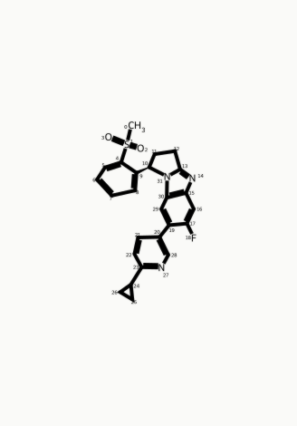 CS(=O)(=O)c1ccccc1[C@H]1CCc2nc3cc(F)c(-c4ccc(C5CC5)nc4)cc3n21